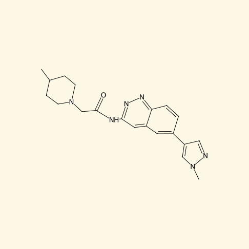 CC1CCN(CC(=O)Nc2cc3cc(-c4cnn(C)c4)ccc3nn2)CC1